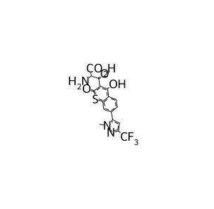 Cn1nc(C(F)(F)F)cc1-c1ccc2c(O)c(C(=O)C(N)C(=O)O)c(=O)sc2c1